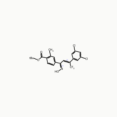 Cc1cc(C(/C=C(/c2cc(Cl)cc(Cl)c2)C(F)(F)F)=N\O)ccc1C(=O)OC(C)(C)C